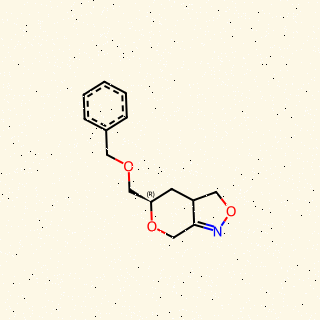 c1ccc(COC[C@H]2CC3CON=C3CO2)cc1